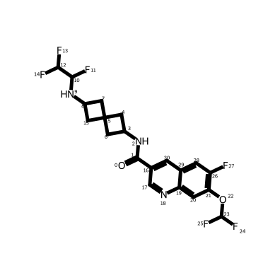 O=C(NC1CC2(C1)CC(NC(F)C(F)F)C2)c1cnc2cc(OC(F)F)c(F)cc2c1